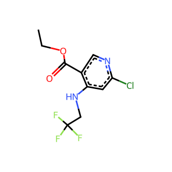 CCOC(=O)c1cnc(Cl)cc1NCC(F)(F)F